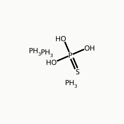 OP(O)(O)=S.P.P.P